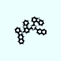 c1ccc2cc(-c3nc(-c4cccc5oc6ccccc6c45)nc(-c4ccc(-n5c6ccccc6c6cc7ccccc7cc65)c5sc6ccccc6c45)n3)ccc2c1